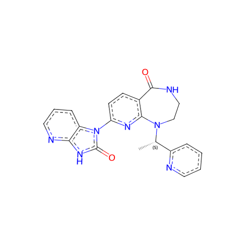 C[C@@H](c1ccccn1)N1CCNC(=O)c2ccc(-n3c(=O)[nH]c4ncccc43)nc21